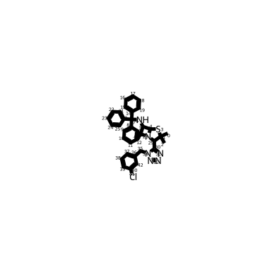 CC1(C)SC2C(NC(c3ccccc3)(c3ccccc3)c3ccccc3)C(=O)N2C1c1nnnn1Cc1cccc(Cl)c1